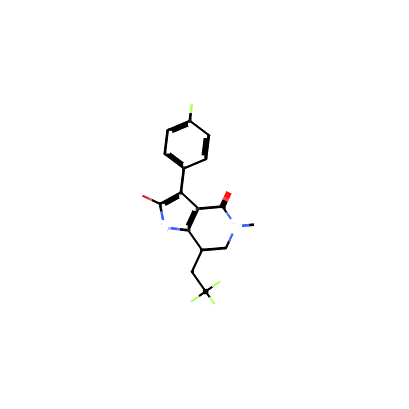 CN1CC(CC(F)(F)F)c2[nH]c(Br)c(-c3ccc(F)cc3)c2C1=O